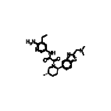 CCc1cc(NC(=O)C(=O)N2C[C@@H](C)CC[C@@H]2c2ccc3sc(CN(C)C)nc3c2)cnc1N